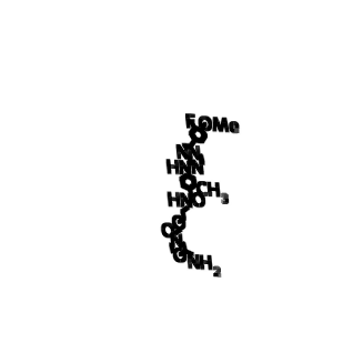 COc1ccc(-c2cnc3c(Nc4ccc(C(=O)NCCCOCC(=O)N5CCOC(CN)C5)c(C)c4)nccn23)cc1F